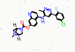 Cc1nnc(-c2cc(Cl)ccc2F)cc1Nc1ccnc2cc(OC(=O)N3C[C@@H]4C[C@H]3CN4C)ccc12